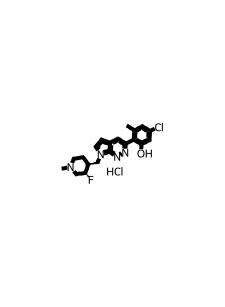 Cc1cc(Cl)cc(O)c1-c1cc2ccn(C[C@@H]3CCN(C)C[C@H]3F)c2nn1.Cl